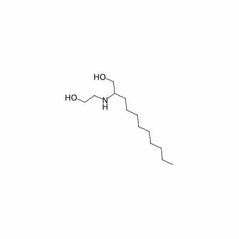 CCCCCCCCCC(CO)NCCO